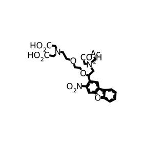 CC(=O)CN(CC(=O)O)CC(OCCOCCN(CC(=O)O)CC(=O)O)c1cc2c(cc1[N+](=O)[O-])oc1ccccc12